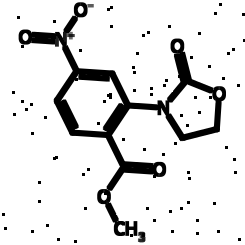 COC(=O)c1ccc([N+](=O)[O-])cc1N1CCOC1=O